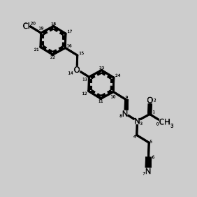 CC(=O)N(CCC#N)/N=C/c1ccc(OCc2ccc(Cl)cc2)cc1